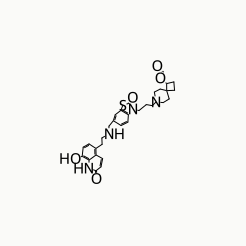 O=COC1CCC12CCN(CCCn1c(=O)sc3cc(CNCCc4ccc(O)c5[nH]c(=O)ccc45)ccc31)CC2